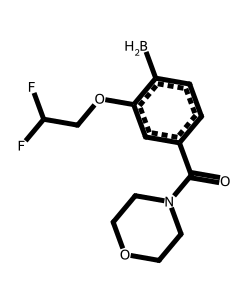 Bc1ccc(C(=O)N2CCOCC2)cc1OCC(F)F